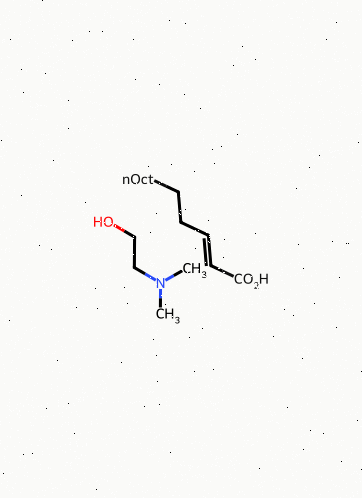 CCCCCCCCCCC=CC(=O)O.CN(C)CCO